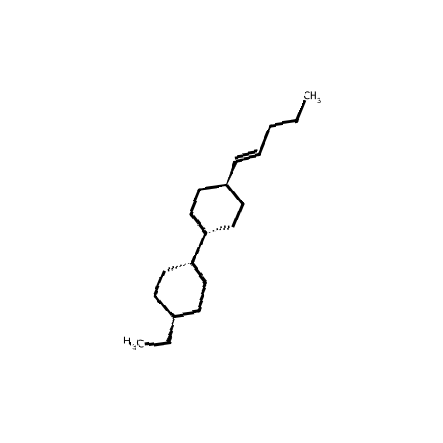 CCC/C=C/[C@H]1CC[C@H]([C@H]2CC[C@H](CC)CC2)CC1